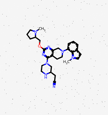 CN1CCCC1COc1nc2c(c(N3CCNC(CC#N)C3)n1)CCN(c1cccc3ccn(C)c13)C2